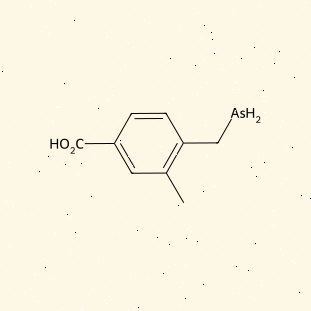 Cc1cc(C(=O)O)ccc1C[AsH2]